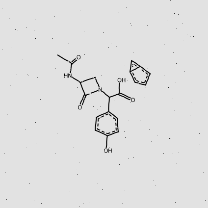 CC(=O)NC1CN(C(C(=O)O)c2ccc(O)cc2)C1=O.c1cc2cc-2c1